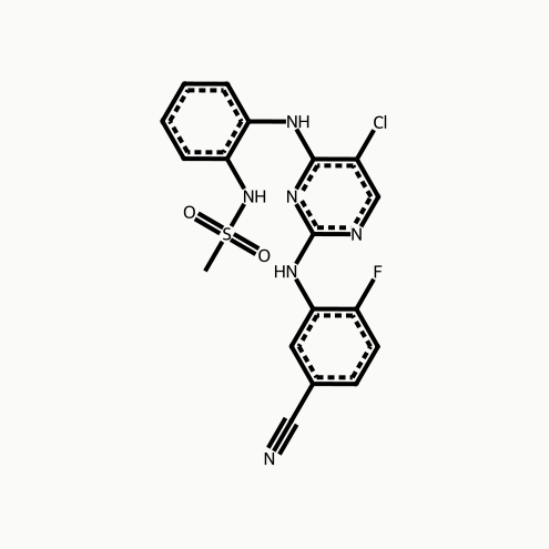 CS(=O)(=O)Nc1ccccc1Nc1nc(Nc2cc(C#N)ccc2F)ncc1Cl